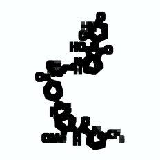 COc1cc2nc([C@H]3CC[C@H](C(=O)N(C)CCCNc4cccc5c4C(O)N(C4CCC(=O)NC4=O)C5=O)CC3)sc2cc1NC(=O)c1cccc(C(F)(F)F)n1